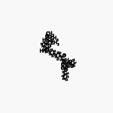 COC(=O)N[C@H](C(=O)N1CCC[C@H]1c1nc(-c2ccc(-c3ccc(C(=O)CNC(=O)[C@@H]4CC5(CN4C(=O)OCc4ccccc4)OCCCO5)cc3)cc2)c[nH]1)C(C)C